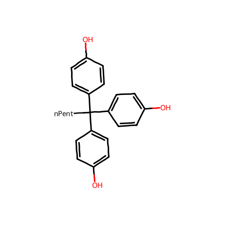 CCCCCC(c1ccc(O)cc1)(c1ccc(O)cc1)c1ccc(O)cc1